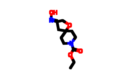 CCOC(=O)N1CCC2(CC1)C/C(=N/O)CO2